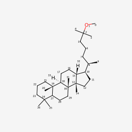 COC(C)(C)CCC[C@@H](C)[C@H]1CC[C@@]2(C)[C@@H]1CC[C@@H]1[C@@]3(C)CCCC(C)(C)C3CC[C@]12C